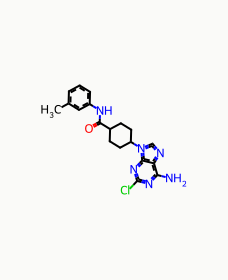 Cc1cccc(NC(=O)C2CCC(n3cnc4c(N)nc(Cl)nc43)CC2)c1